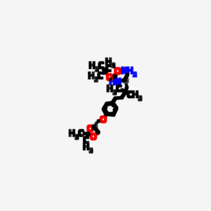 CC(C)(CCc1ccc(OC[C@@H]2COC(C)(C)O2)cc1)C[C@@H](CN)NC(=O)OC(C)(C)C